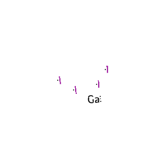 [Ga].[I].[I].[I].[I]